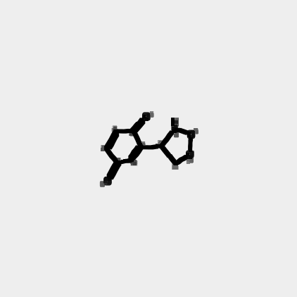 O=C1C=CC(=O)C(C2BOOC2)=C1